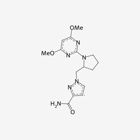 COc1cc(OC)nc(N2CCCC2Cn2c[c]c(C(N)=O)n2)n1